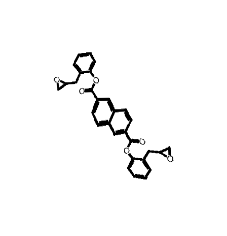 O=C(Oc1ccccc1CC1CO1)c1ccc2cc(C(=O)Oc3ccccc3CC3CO3)ccc2c1